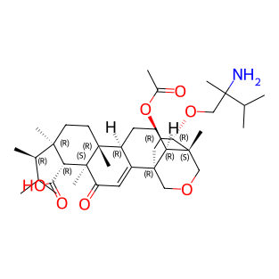 CC(=O)O[C@@H]1C[C@@]23COC[C@](C)([C@@H]2CC[C@H]2C3=CC(=O)[C@@]3(C)[C@H](C(=O)O)[C@@](C)([C@H](C)C(C)C)CC[C@]23C)[C@H]1OCC(C)(N)C(C)C